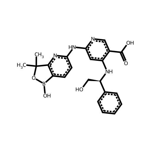 CC1(C)OB(O)c2ccc(Nc3cc(N[C@H](CO)c4ccccc4)c(C(=O)O)cn3)nc21